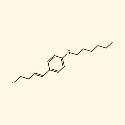 [CH2]CC/C=C/c1ccc(SCCCCCC)cc1